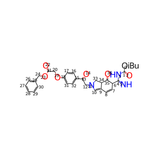 CC(C)COC(=O)NC(=N)C1C=CC2=CN(CC(=O)c3ccc(OCC(=O)OCc4ccccc4)cc3)CC2C1=O